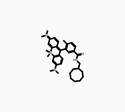 Cc1ccc(C(=O)NCC2CCCCCCC2)cc1C1=C2C=CC(=[N+](C)C)C=C2[Si](C)(C)c2cc(N(C)C)ccc21